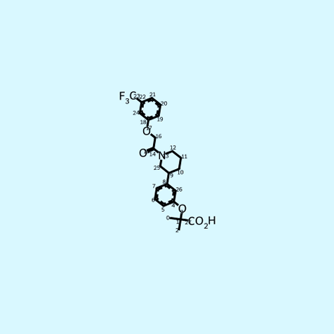 CC(C)(Oc1cccc(C2CCCN(C(=O)COc3cccc(C(F)(F)F)c3)C2)c1)C(=O)O